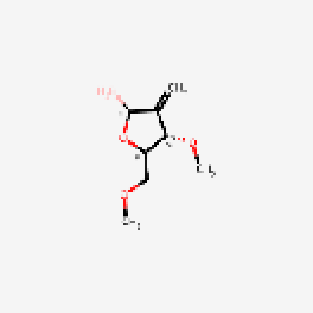 B[C@@H]1O[C@H](COC)[C@@H](OC)C1=C